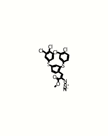 COC(=O)/C(=C\c1ccc(Sc2ccc(Cl)c(Cl)c2)cc1Sc1ccc(Cl)c(Cl)c1)N=[N+]=[N-]